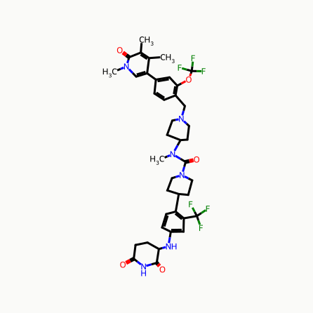 Cc1c(-c2ccc(CN3CCC(N(C)C(=O)N4CCC(c5ccc(NC6CCC(=O)NC6=O)cc5C(F)(F)F)CC4)CC3)c(OC(F)(F)F)c2)cn(C)c(=O)c1C